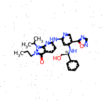 CCCn1c(=O)c2ccc(Nc3cc(N[C@H](CO)c4ccccc4)c(-c4ncno4)cn3)nc2n1C(C)C